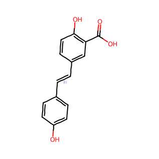 O=C(O)c1cc(/C=C/c2ccc(O)cc2)ccc1O